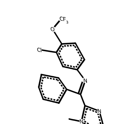 Cn1ccnc1C(=Nc1ccc(OC(F)(F)F)c(Cl)c1)c1ccccc1